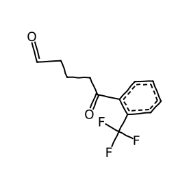 O=CCCCC(=O)c1ccccc1C(F)(F)F